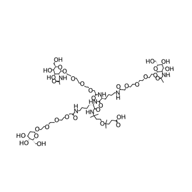 CC(=O)N[C@H]1[C@H](OCCOCCOCCOCC(=O)NCCCC[C@H](NC(=O)COCCOCCOCCO[C@@H]2O[C@H](CO)[C@H](O)[C@H](O)[C@H]2NC(C)=O)C(=O)N[C@@H](CCCCNC(=O)COCCOCCOCCO[C@H]2C[C@@H](O)[C@@H](O)[C@@H](CO)O2)C(=O)NC(C)(C)CCOC(C)(C)CCC(=O)O)O[C@H](CO)[C@H](O)[C@@H]1O